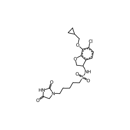 O=C1CN(CCCCCS(=O)(=O)NC2COc3c2ccc(Cl)c3OCC2CC2)C(=O)N1